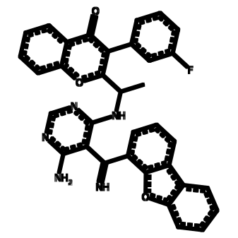 CC(Nc1ncnc(N)c1C(=N)c1cccc2c1oc1ccccc12)c1oc2ccccc2c(=O)c1-c1cccc(F)c1